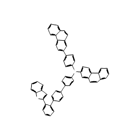 c1ccc(-c2cc3ccccc3o2)c(-c2ccc(-c3ccc(N(c4ccc(-c5ccc6c(ccc7ccccc76)c5)cc4)c4ccc5c(ccc6ccccc65)c4)cc3)cc2)c1